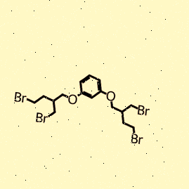 BrCCC(CBr)COc1cccc(OCC(CBr)CCBr)c1